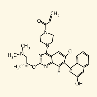 C=CC(=O)N1CCN(c2nc(O[C@H](C)CN(C)C)nc3c(F)c(-c4cc(O)cc5ccccc45)c(Cl)cc23)CC1